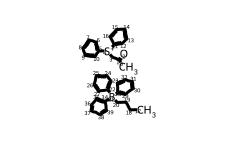 CC(=O)C[S+](c1ccccc1)c1ccccc1.CCCC[B-](c1ccccc1)(c1ccccc1)c1ccccc1